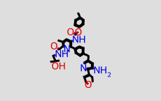 Cc1ccc(OC(=O)Nc2cc(C)c(C(=O)NCC(C)(C)O)nc2-c2ccc(Cc3cnc(C4=CCOCC4)c(N)c3)cc2)cc1